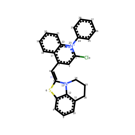 Clc1cc(/C=C2/Sc3cccc4c3N2CCC4)c2ccccc2[n+]1-c1ccccc1